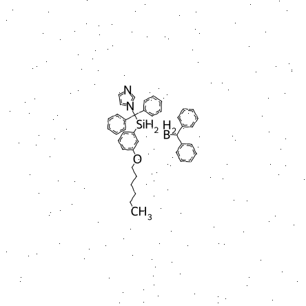 BC(c1ccccc1)c1ccccc1.CCCCCCOc1cccc([SiH2]C(c2ccccc2)(c2ccccc2)n2ccnc2)c1